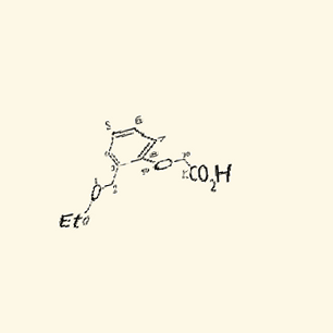 CCOCc1ccccc1OCC(=O)O